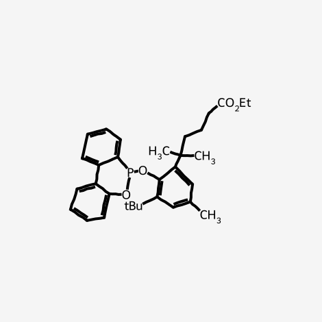 CCOC(=O)CCCC(C)(C)c1cc(C)cc(C(C)(C)C)c1OP1Oc2ccccc2-c2ccccc21